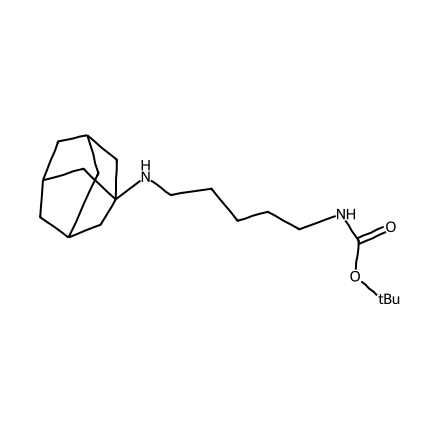 CC(C)(C)OC(=O)NCCCCCNC12CC3CC(CC(C3)C1)C2